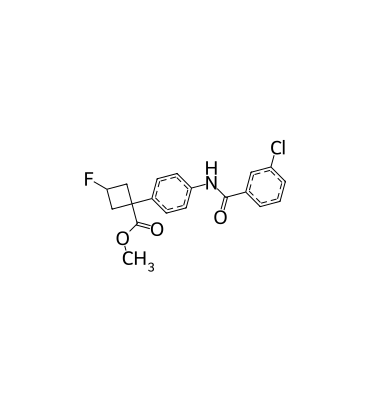 COC(=O)C1(c2ccc(NC(=O)c3cccc(Cl)c3)cc2)CC(F)C1